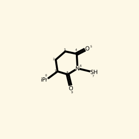 CC(C)C1CCC(=O)N(S)C1=O